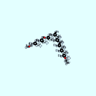 CCOC1=C/C(=[O+]/CC)CC(C)(C)C1.CCOC1=C/C(=[O+]/CC)CC(C)(C)C1.CCOC1=C/C(=[O+]/CC)CC(C)(C)C1.CCOC1=C/C(=[O+]/CC)CC(C)(C)C1.CCOC1=C/C(=[O+]/CC)CC(C)(C)C1.CCOC1=C/C(=[O+]/CC)CC(C)(C)C1.CCOC1=C/C(=[O+]/CC)CC(C)(C)C1.CCOC1=C/C(=[O+]/CC)CC(C)(C)C1.[O-]B([O-])F.[O-]B([O-])F.[O-]B([O-])F.[O-]B([O-])F